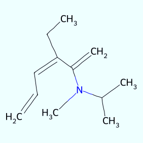 C=C/C=C(/CC)C(=C)N(C)C(C)C